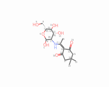 CC(N[C@H]1C(O)O[C@H](CO)[C@@H](O)[C@@H]1O)=C1C(=O)CC(C)(C)CC1=O